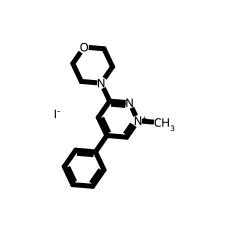 C[n+]1cc(-c2ccccc2)cc(N2CCOCC2)n1.[I-]